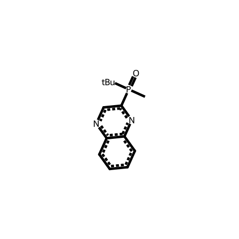 CC(C)(C)P(C)(=O)c1cnc2ccccc2n1